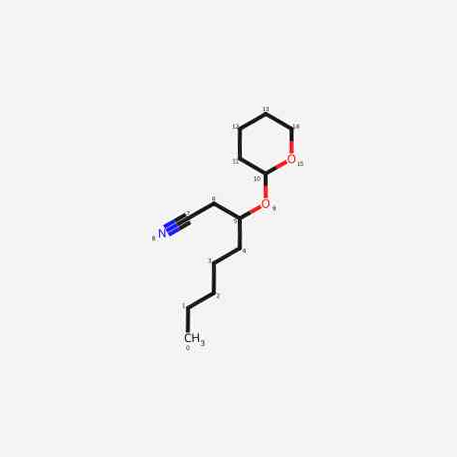 CCCCCC(CC#N)OC1CCCCO1